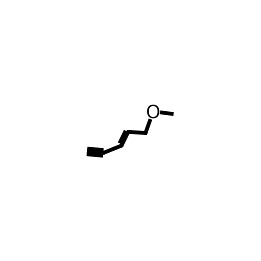 C#CC=CCOC